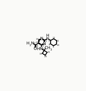 CC1(Nc2nc(NC3CCCCC3)ncc2C(N)=O)CCC1